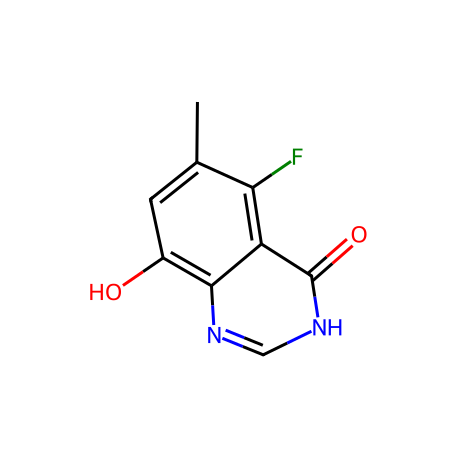 Cc1cc(O)c2nc[nH]c(=O)c2c1F